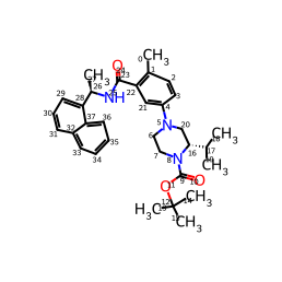 Cc1ccc(N2CCN(C(=O)OC(C)(C)C)[C@@H](C(C)C)C2)cc1C(=O)N[C@H](C)c1cccc2ccccc12